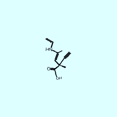 C#C[C@@](C)(/C=C(\C)NC=C)C(=O)O